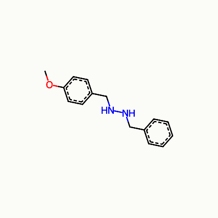 COc1ccc(CNNCc2ccccc2)cc1